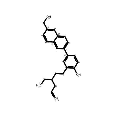 C=CCC(CC)CCc1cc(-c2ccc3cc(CO)ccc3c2)ccc1O